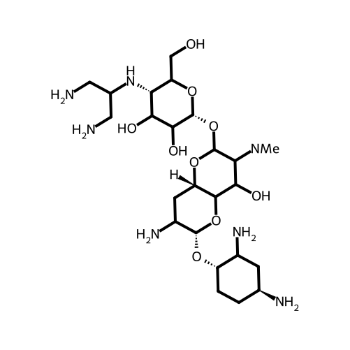 CNC1C(O[C@H]2OC(CO)[C@@H](NC(CN)CN)C(O)C2O)O[C@H]2CC(N)[C@@H](O[C@H]3CC[C@H](N)CC3N)OC2C1O